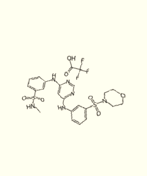 CNS(=O)(=O)c1cccc(Nc2cc(Nc3cccc(S(=O)(=O)N4CCOCC4)c3)ncn2)c1.O=C(O)C(F)(F)F